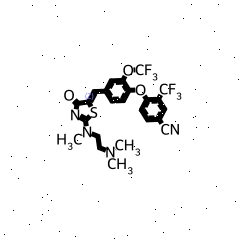 CN(C)CCN(C)C1=NC(=O)/C(=C/c2ccc(Oc3ccc(C#N)cc3C(F)(F)F)c(OC(F)(F)F)c2)S1